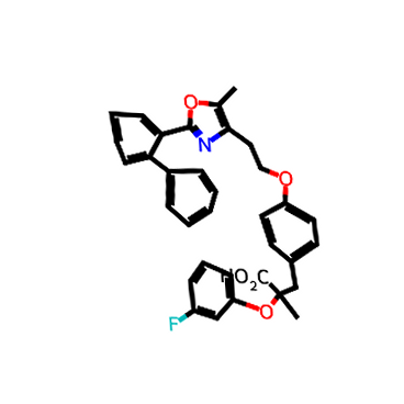 Cc1oc(-c2ccccc2-c2ccccc2)nc1CCOc1ccc(CC(C)(Oc2cccc(F)c2)C(=O)O)cc1